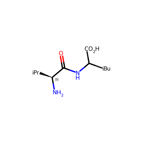 CCC(C)C(NC(=O)[C@@H](N)C(C)C)C(=O)O